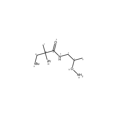 CC(CNC(=O)C(C)(CC(C)(C)C)C(C)C)ON